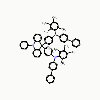 C=C(/C=C\C(=C/C)N(c1ccc(-c2ccccc2)cc1)c1c(C)cc(C)c(C)c1C)C1(c2ccc(N(c3ccc(-c4ccccc4)cc3)c3c(C)cc(C)c(C)c3C)cc2)c2ccccc2N(c2ccccc2)c2ccccc21